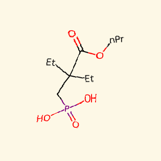 CCCOC(=O)C(CC)(CC)CP(=O)(O)O